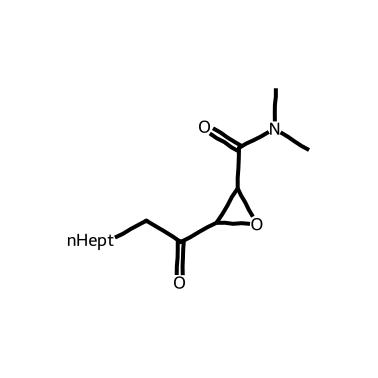 CCCCCCCCC(=O)C1OC1C(=O)N(C)C